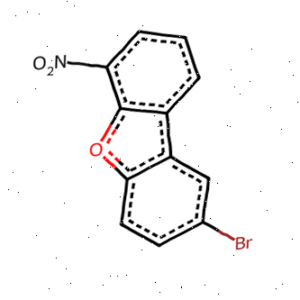 O=[N+]([O-])c1cccc2c1oc1ccc(Br)cc12